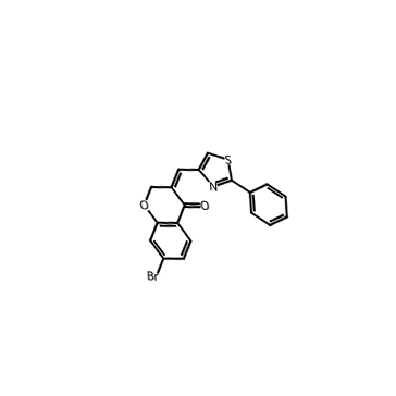 O=C1C(=Cc2csc(-c3ccccc3)n2)COc2cc(Br)ccc21